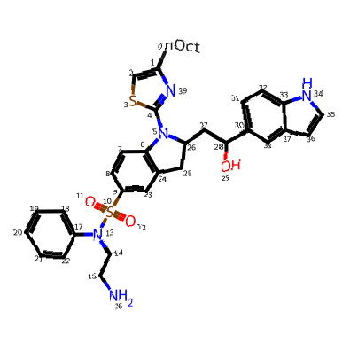 CCCCCCCCc1csc(N2c3ccc(S(=O)(=O)N(CCN)c4ccccc4)cc3CC2CC(O)c2ccc3[nH]ccc3c2)n1